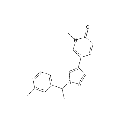 Cc1cccc(C(C)n2cc(-c3ccc(=O)n(C)c3)cn2)c1